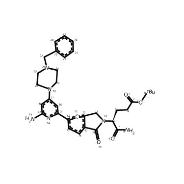 CC(C)(C)OC(=O)CC[C@@H](C(N)=O)N1Cc2cc(-c3cc(N4CCN(Cc5ccccc5)CC4)cc(N)n3)ccc2C1=O